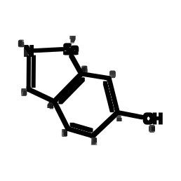 Oc1ccc2cn[se]c2c1